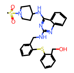 CS(=O)(=O)N1CCC(Nc2nc(NCc3ccccc3Sc3ccccc3CO)nc3ccccc23)CC1